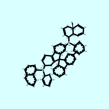 Cc1ccc2c(c1)C1(C3=C(C=CC(N(c4cccc5ccccc45)C4C=CC=CC4)C3)c3ccc(N(c4ccccc4)C4C=CC[C@]5(C)C=CC=CC45)cc31)c1ccccc1-2